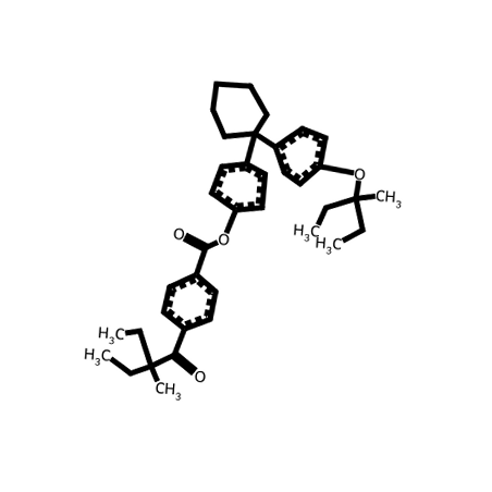 CCC(C)(CC)Oc1ccc(C2(c3ccc(OC(=O)c4ccc(C(=O)C(C)(CC)CC)cc4)cc3)CCCCC2)cc1